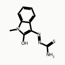 Cn1c(O)c(N=NC(N)=S)c2ccccc21